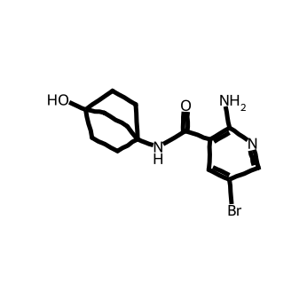 Nc1ncc(Br)cc1C(=O)NC12CCC(O)(CC1)CC2